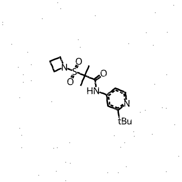 CC(C)(C)c1cc(NC(=O)C(C)(C)S(=O)(=O)N2CCC2)ccn1